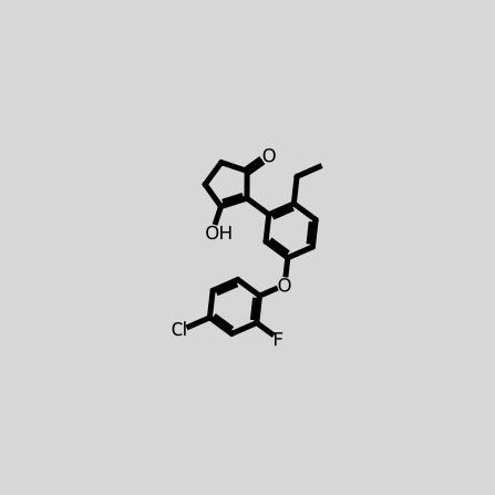 CCc1ccc(Oc2ccc(Cl)cc2F)cc1C1=C(O)CCC1=O